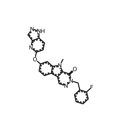 Cn1c2cc(Oc3ccc4[nH]ncc4n3)ccc2c2cnn(Cc3ccccc3F)c(=O)c21